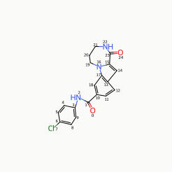 O=C(Nc1ccc(Cl)cc1)c1ccc2cc3n(c2c1)CCCNC3=O